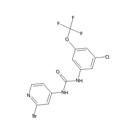 O=C(Nc1cc(Cl)cc(OC(F)(F)F)c1)Nc1ccnc(Br)c1